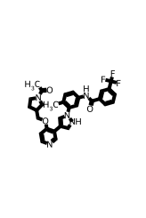 CC(=O)N1CCC(COc2ccncc2C2=CN(c3cc(NC(=O)c4cccc(C(F)(F)F)c4)ccc3C)NC2)C1